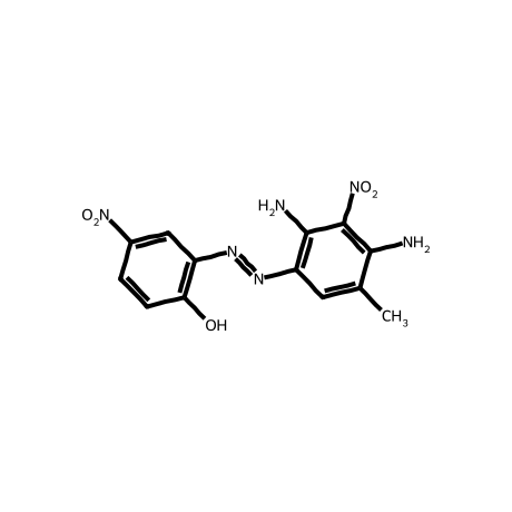 Cc1cc(N=Nc2cc([N+](=O)[O-])ccc2O)c(N)c([N+](=O)[O-])c1N